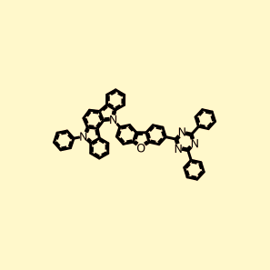 c1ccc(-c2nc(-c3ccccc3)nc(-c3ccc4c(c3)oc3ccc(-n5c6ccccc6c6ccc7c(c8ccccc8n7-c7ccccc7)c65)cc34)n2)cc1